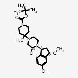 CO[C@H]1C[C@H](N2CCN(C3(C)CCN(C(=O)OC(C)(C)C)CC3)C[C@@H]2C)c2ccc(C)cc21